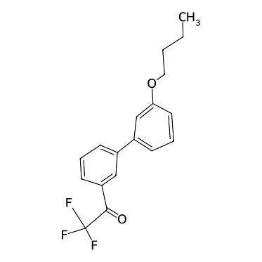 CCCCOc1cccc(-c2cccc(C(=O)C(F)(F)F)c2)c1